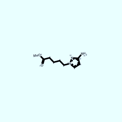 COC(=O)CCCCn1ccc(N)n1